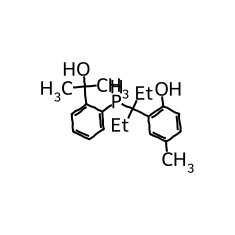 CCC(CC)(Pc1ccccc1C(C)(C)O)c1cc(C)ccc1O